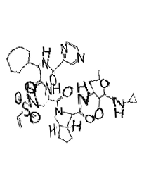 C=CS(=O)(=O)NC[C@H](NC(=O)[C@@H](NC(=O)c1cnccn1)C1CCCCC1)C(=O)N1C[C@@H]2CCC[C@@H]2C1C(=O)N[C@@H](CCC)C(=O)C(=O)NC1CC1